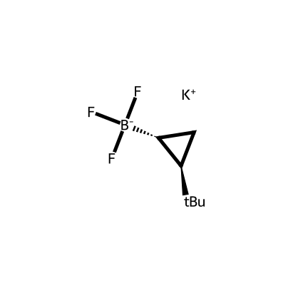 CC(C)(C)[C@@H]1C[C@H]1[B-](F)(F)F.[K+]